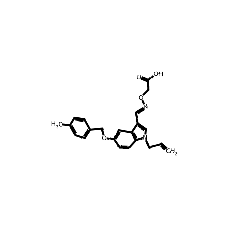 C=CCn1cc(C=NOCC(=O)O)c2cc(OCc3ccc(C)cc3)ccc21